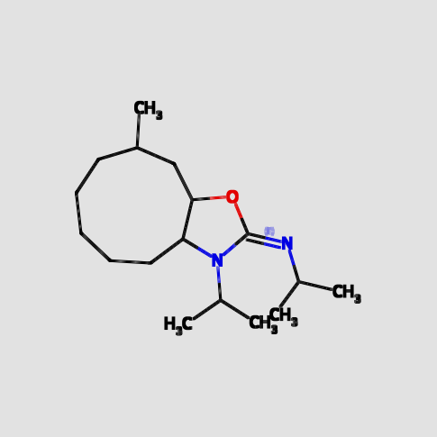 CC1CCCCCC2C(C1)O/C(=N/C(C)C)N2C(C)C